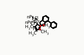 CCC[Si](CCC)=[Zr]([Cl])([Cl])([CH]1C(C)=C(C)C(C)=C1C)[CH]1C(C)=Cc2c(-c3ccccc3)cccc21